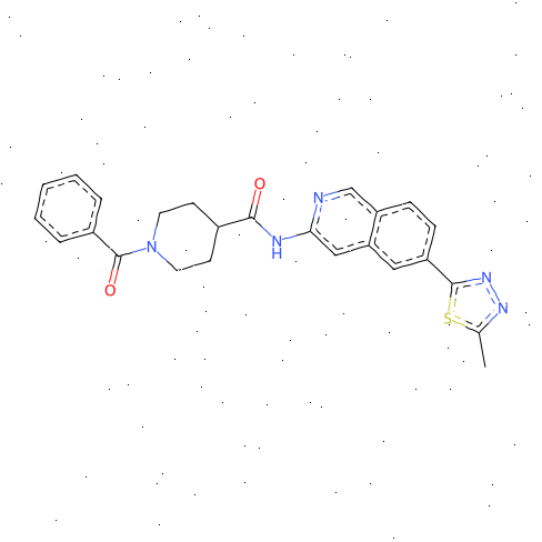 Cc1nnc(-c2ccc3cnc(NC(=O)C4CCN(C(=O)c5ccccc5)CC4)cc3c2)s1